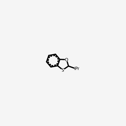 CC(C)C1Oc2ccccc2S1